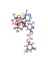 CC1=NC=C(c2ccc(OCCOc3cc(F)cc(F)c3)nc2)C(N2CCC(C)(C)CC2)C1(F)C(OC(C)(C)C)C(=O)O